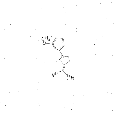 COc1cccc(N2CCC(=C(C#N)C#N)C2)c1